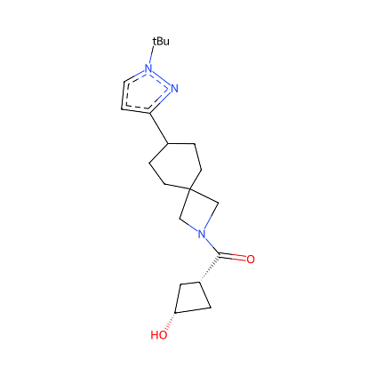 CC(C)(C)n1ccc(C2CCC3(CC2)CN(C(=O)[C@H]2C[C@@H](O)C2)C3)n1